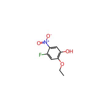 CCOc1cc(F)c([N+](=O)[O-])cc1O